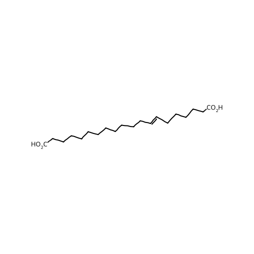 O=C(O)CCCCCC=CCCCCCCCCCCCC(=O)O